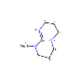 CNN1CCCN2CCCN=C21